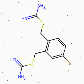 N=C(N)SCc1ccc(Br)cc1CSC(=N)N